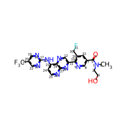 CN(CCO)C(=O)c1cnc(-c2cnc3c(Nc4ncc(C(F)(F)F)cn4)ccnc3n2)c(CF)c1